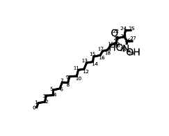 CCCCCCCCCCCCCCCCCCCCCC(=O)C(CC)C(C)N(O)O